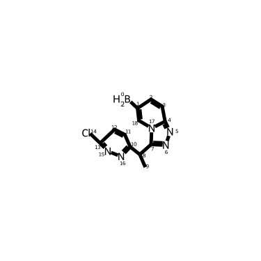 Bc1ccc2nnc(C(C)c3ccc(Cl)nn3)n2c1